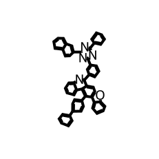 c1ccc(-c2ccc(-c3c4c(cc5c(-c6cccc(-c7nc(-c8ccccc8)nc(-c8ccc9ccccc9c8)n7)c6)nc6ccccc6c35)oc3ccccc34)cc2)cc1